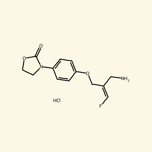 Cl.NC/C(=C/F)COc1ccc(N2CCOC2=O)cc1